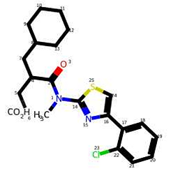 CN(C(=O)C(CC(=O)O)CC1CCCCC1)c1nc(-c2ccccc2Cl)cs1